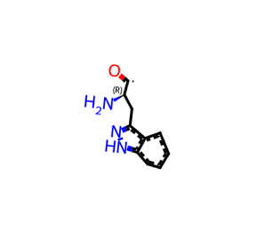 N[C@@H]([C]=O)Cc1n[nH]c2ccccc12